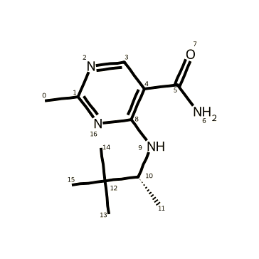 Cc1ncc(C(N)=O)c(N[C@H](C)C(C)(C)C)n1